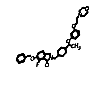 CC(Oc1cccc(OCCN2CCOCC2)c1)C1CCC(CN2Cc3ccc(OCc4ccccc4)c(F)c3C2=O)CC1